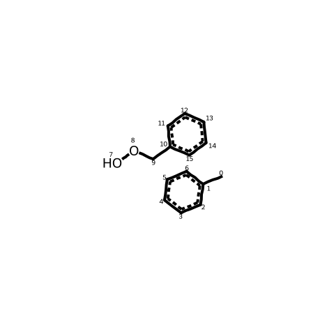 Cc1ccccc1.OOCc1ccccc1